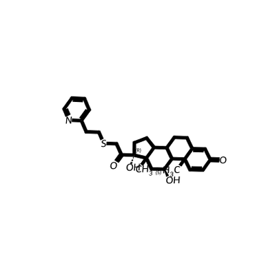 CC12C=CC(=O)C=C1CCC1C2[C@@H](O)CC2(C)C1CC[C@]2(O)C(=O)CSCCc1ccccn1